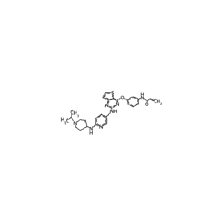 C=CC(=O)Nc1cccc(Oc2nc(Nc3ccc(NC4CCN(C(C)C)CC4)nc3)nc3ccsc23)c1